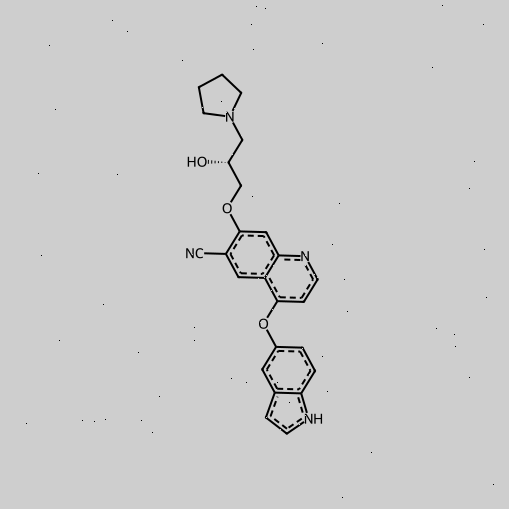 N#Cc1cc2c(Oc3ccc4[nH]ccc4c3)ccnc2cc1OC[C@H](O)CN1CCCC1